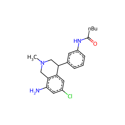 CCCCC(=O)Nc1cccc(C2CN(C)Cc3c(N)cc(Cl)cc32)c1